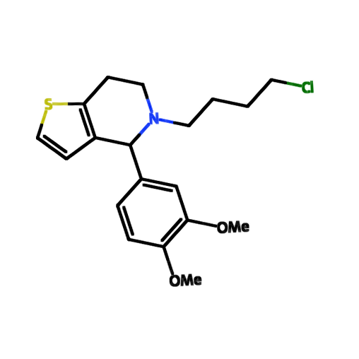 COc1ccc(C2c3ccsc3CCN2CCCCCl)cc1OC